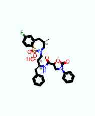 C[C@H]1Cc2cc(F)ccc2S(=O)(=O)N(C[C@@H](O)[C@H](Cc2ccccc2)NC(=O)C2CN(c3ccccc3)C(=O)O2)C1